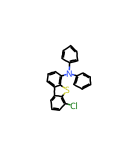 Clc1cccc2c1sc1c(N(c3ccccc3)c3ccccc3)cccc12